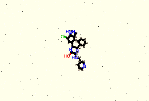 Oc1nc(-c2cc(Cl)c3[nH]ncc3c2)c(-c2ccccc2)nc1NCc1cccnc1